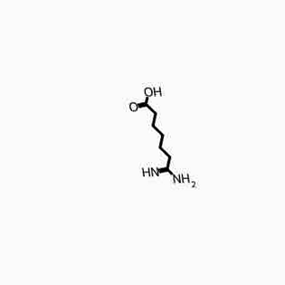 N=C(N)CCCCCC(=O)O